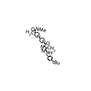 CNC(=O)C1(C)CCN(C2CCN(C(=O)c3ncnc(NCc4ccc(C(C)(C)C)cc4)c3C)CC2)CC1